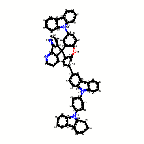 c1cnc2c(c1)C1(c3ccc(-c4ccc5c(c4)c4ccccc4n5-c4ccc(-n5c6ccccc6c6ccccc65)cc4)cc3Oc3ccc(-n4c5ccccc5c5ccccc54)cc31)c1cccnc1-2